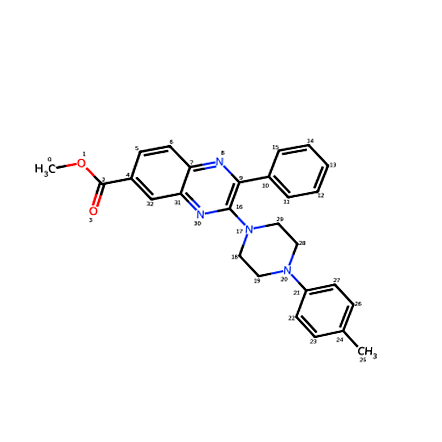 COC(=O)c1ccc2nc(-c3ccccc3)c(N3CCN(c4ccc(C)cc4)CC3)nc2c1